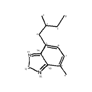 CCC(C)Cc1ccc(C)c2nsnc12